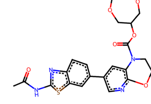 CC(=O)Nc1nc2ccc(-c3cnc4c(c3)N(C(=O)OC3COCCOC3)CCO4)cc2s1